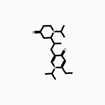 CCc1cc(=O)c(CC(C)C2CC(=O)CCN2C(C)C)cn1C(C)C